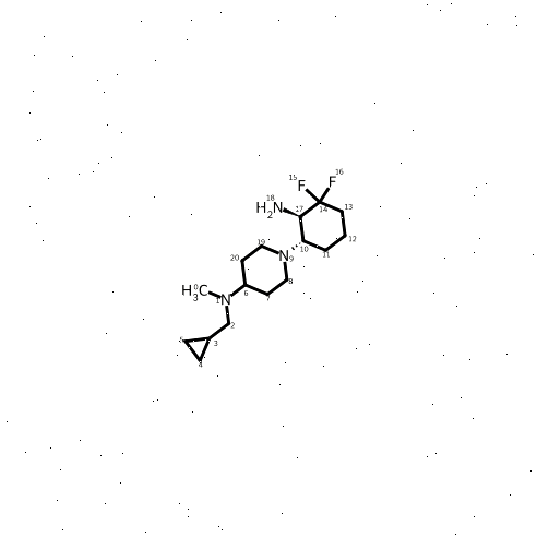 CN(CC1CC1)C1CCN([C@H]2CCCC(F)(F)[C@@H]2N)CC1